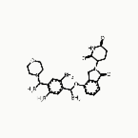 Bc1cc(C(B)N2CCOCC2)c(B)cc1C(B)Oc1cccc2c1CN(C1CCC(=O)NC1=O)C2=O